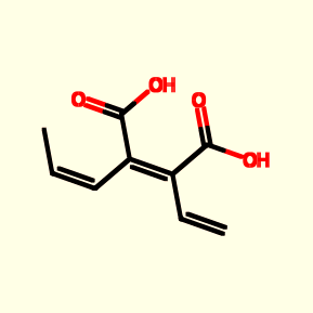 C=C/C(C(=O)O)=C(\C=C/C)C(=O)O